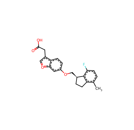 Cc1ccc(F)c2c1CC[C@H]2COc1ccc2c(CC(=O)O)coc2c1